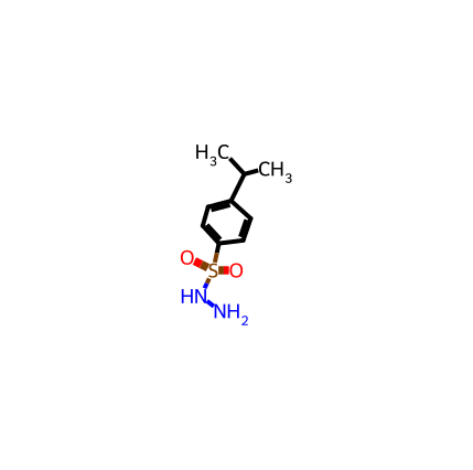 CC(C)c1ccc(S(=O)(=O)NN)cc1